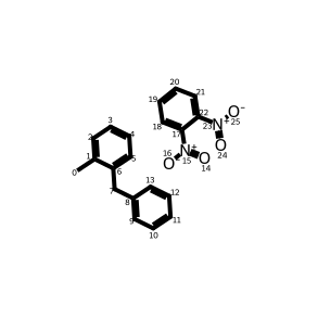 Cc1ccccc1Cc1ccccc1.O=[N+]([O-])c1ccccc1[N+](=O)[O-]